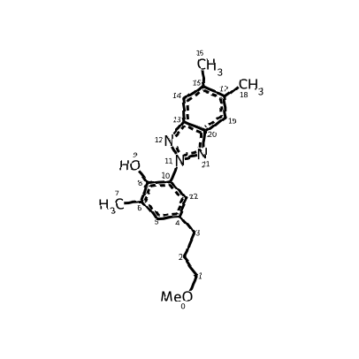 COCCCc1cc(C)c(O)c(-n2nc3cc(C)c(C)cc3n2)c1